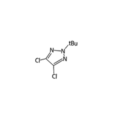 CC(C)(C)n1nc(Cl)c(Cl)n1